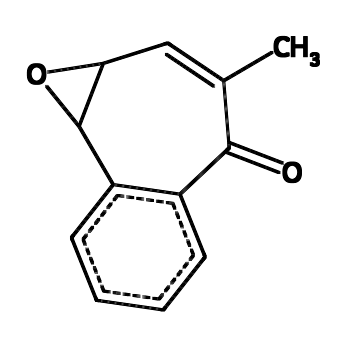 CC1=CC2OC2c2ccccc2C1=O